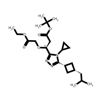 CCOC(=O)CO[C@@H](CC(=O)OC(C)(C)C)c1nnc([C@H]2C[C@@H](CC(C)C)C2)n1C1CC1